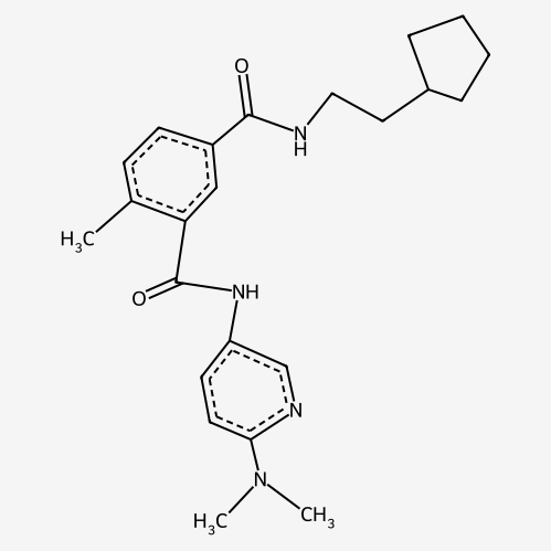 Cc1ccc(C(=O)NCCC2CCCC2)cc1C(=O)Nc1ccc(N(C)C)nc1